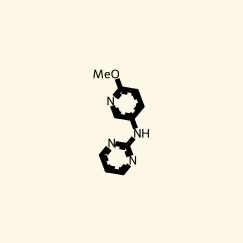 COc1ccc(Nc2ncccn2)cn1